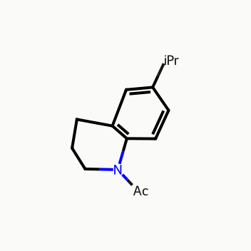 CC(=O)N1CCCc2cc(C(C)C)ccc21